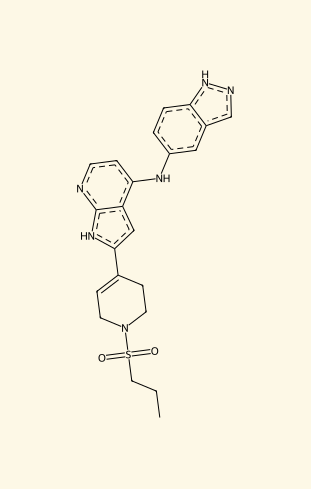 CCCS(=O)(=O)N1CC=C(c2cc3c(Nc4ccc5[nH]ncc5c4)ccnc3[nH]2)CC1